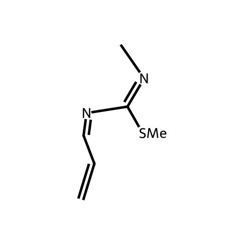 C=C/C=N\C(=N/C)SC